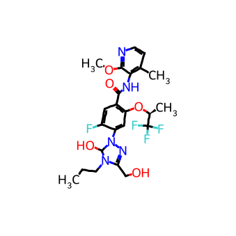 CCCN1C(CO)=NN(c2cc(O[C@@H](C)C(F)(F)F)c(C(=O)Nc3c(C)ccnc3OC)cc2F)C1O